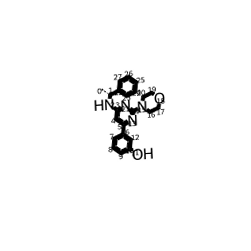 C[C@@H](Nc1cc(-c2cccc(O)c2)nc(N2CCOCC2)n1)c1ccccc1